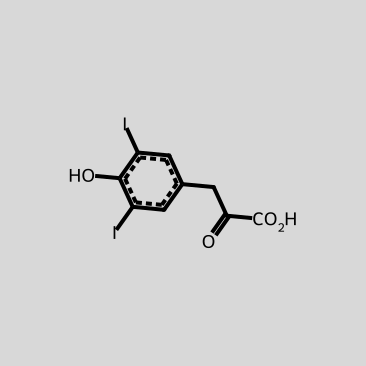 O=C(O)C(=O)Cc1cc(I)c(O)c(I)c1